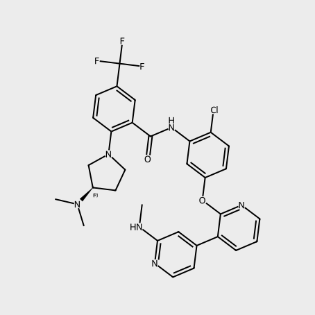 CNc1cc(-c2cccnc2Oc2ccc(Cl)c(NC(=O)c3cc(C(F)(F)F)ccc3N3CC[C@@H](N(C)C)C3)c2)ccn1